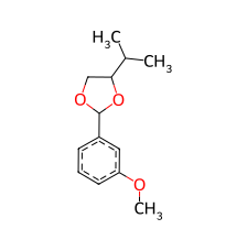 COc1cccc(C2OCC(C(C)C)O2)c1